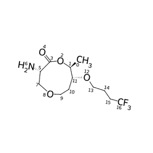 C[C@@H]1OC(=O)[C@@H](N)COCC[C@H]1OCCCC(F)(F)F